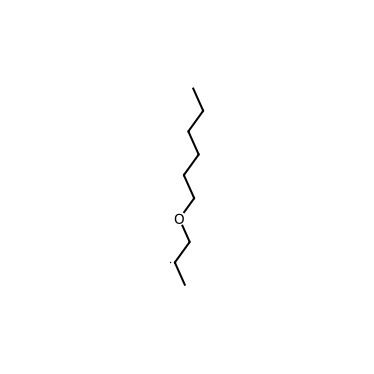 C[CH]COCCCCCC